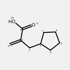 C=C(CC1CCCC1)C(=O)O